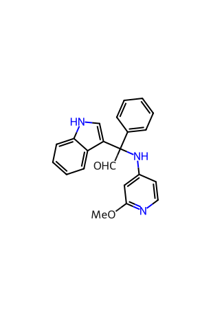 COc1cc(NC(C=O)(c2ccccc2)c2c[nH]c3ccccc23)ccn1